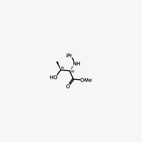 COC(=O)[C@@H](NC(C)C)[C@H](C)O